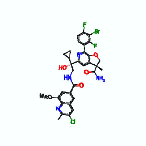 COc1cc(C(=O)NC[C@](O)(c2cc3c(c(-c4ccc(F)c(Br)c4F)n2)OC[C@]3(C)C(N)=O)C2CC2)cc2cc(Cl)c(C)nc12